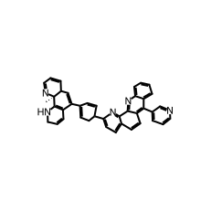 C[C@]12N=CC=CC1C=C(C1=CCC(c3ccc4ccc5c(-c6cccnc6)c6ccccc6nc5c4n3)C=C1)C1=C2NCC=C1